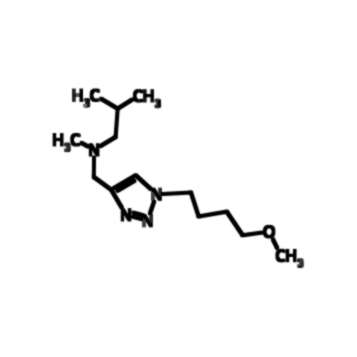 COCCCCn1cc(CN(C)CC(C)C)nn1